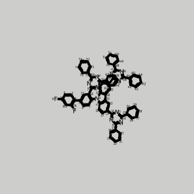 Fc1ccc(-c2ccc(-n3c4ccc(-c5nc(-c6ccccc6)nc(-c6ccccc6)n5)cc4c4cc(-c5nc(-c6ccccc6)nc(-c6ccccc6)n5)ccc43)c(-c3nc(-c4ccccc4)nc(-c4ccccc4)n3)c2)c(F)c1